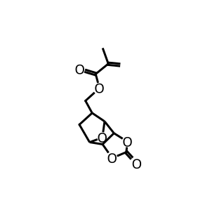 C=C(C)C(=O)OCC1CC2OC1C1OC(=O)OC21